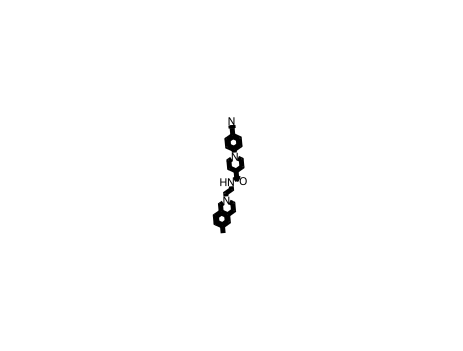 Cc1ccc2c(c1)CCN(CCNC(=O)C1CCN(c3ccc(C#N)cc3)CC1)C2